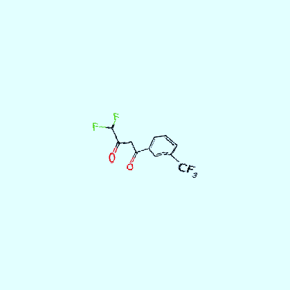 O=C(CC(=O)C(F)F)c1cccc(C(F)(F)F)c1